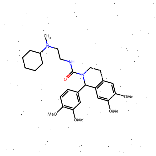 COc1ccc(C2c3cc(OC)c(OC)cc3CCN2C(=O)NCCN(C)C2CCCCC2)cc1OC